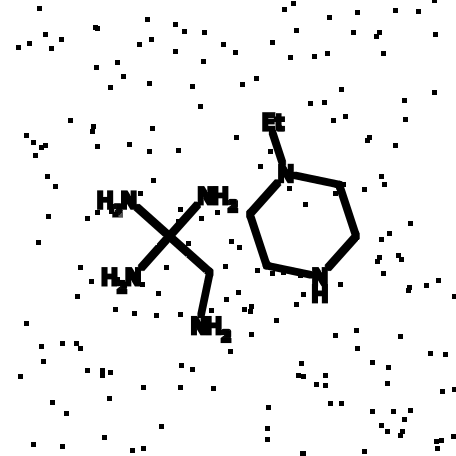 CCN1CCNCC1.NCC(N)(N)N